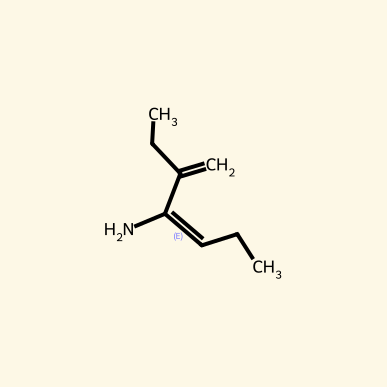 C=C(CC)/C(N)=C\CC